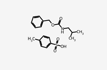 CC(C)CNC(=O)OCc1ccccc1.Cc1ccc(S(=O)(=O)O)cc1